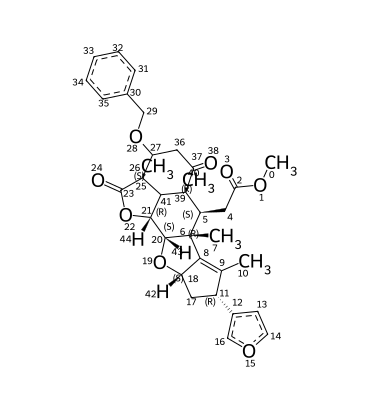 COC(=O)C[C@H]1[C@]2(C)C3=C(C)[C@H](c4ccoc4)C[C@@H]3O[C@@H]2[C@@H]2OC(=O)[C@]3(C)C(OCc4ccccc4)CC(=O)[C@@]1(C)C23